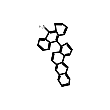 Bc1c2ccccc2c(-c2cccc3c2ccc2cc4ccccc4cc23)c2ccccc12